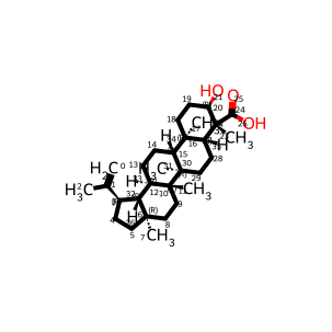 C=C(C)[C@@H]1CC[C@]2(C)CC[C@]3(C)[C@H](CC[C@@H]4[C@@]5(C)CC[C@@H](O)[C@](C)(C(=O)O)[C@@H]5CC[C@]43C)[C@@H]12